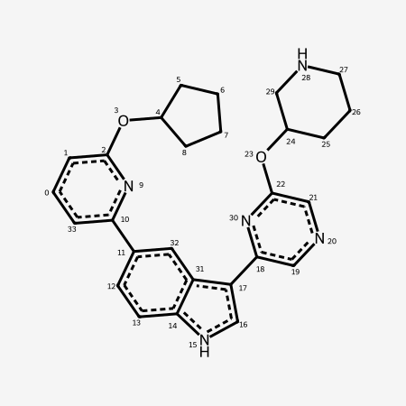 c1cc(OC2CCCC2)nc(-c2ccc3[nH]cc(-c4cncc(OC5CCCNC5)n4)c3c2)c1